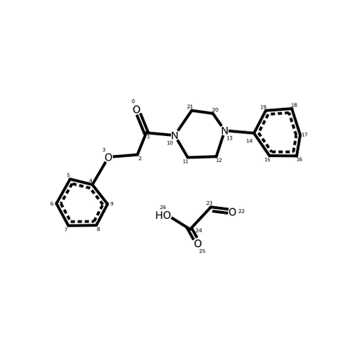 O=C(COc1ccccc1)N1CCN(c2ccccc2)CC1.O=CC(=O)O